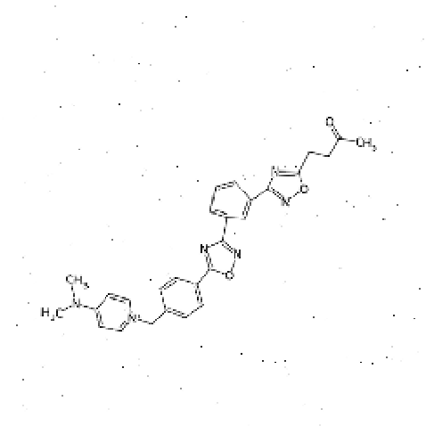 CC(=O)CCc1nc(-c2cccc(-c3noc(-c4ccc(C[n+]5ccc(N(C)C)cc5)cc4)n3)c2)no1